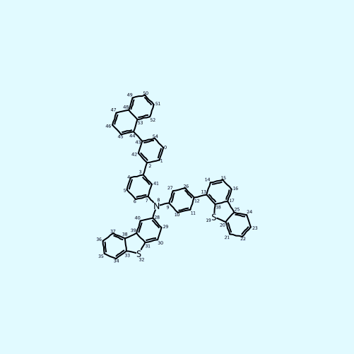 c1cc(-c2cccc(N(c3ccc(-c4cccc5c4sc4ccccc45)cc3)c3ccc4sc5ccccc5c4c3)c2)cc(-c2cccc3ccccc23)c1